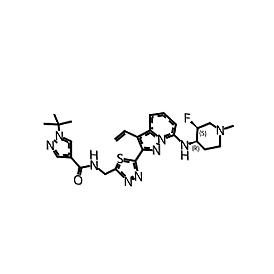 C=Cc1c(-c2nnc(CNC(=O)c3cnn(C(C)(C)C)c3)s2)nn2c(N[C@@H]3CCN(C)C[C@@H]3F)cccc12